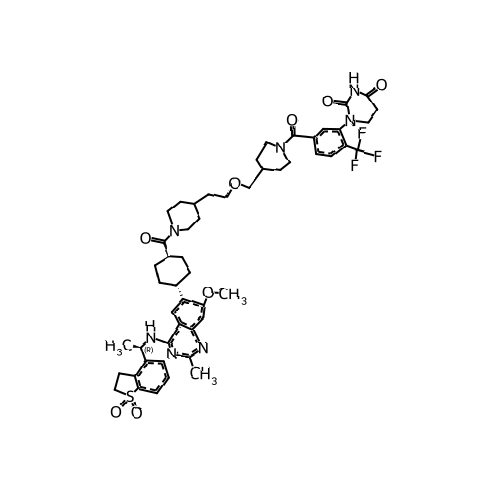 COc1cc2nc(C)nc(N[C@H](C)c3cccc4c3CCS4(=O)=O)c2cc1[C@H]1CC[C@H](C(=O)N2CCC(CCOCC3CCN(C(=O)c4ccc(C(F)(F)F)c(N5CCC(=O)NC5=O)c4)CC3)CC2)CC1